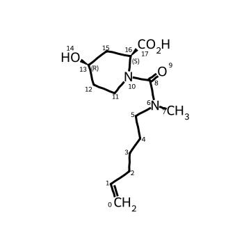 C=CCCCCN(C)C(=O)N1CC[C@@H](O)C[C@H]1C(=O)O